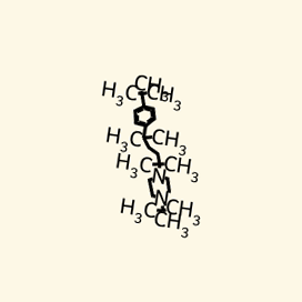 CC(C)(C)c1ccc(C(C)(C)CCC(C)(C)N2CCN(C(C)(C)C)CC2)cc1